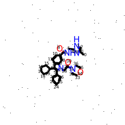 Cc1c[nH]c(CNC(=O)c2ccc3c(C4CCCCC4)c(-c4ccccc4)n(CC(=O)N4CCOCC4)c3c2)n1